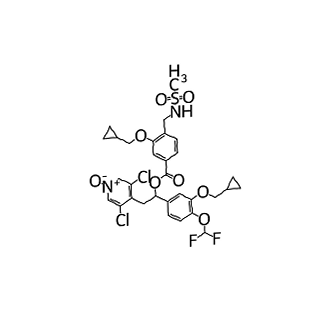 CS(=O)(=O)NCc1ccc(C(=O)OC(Cc2c(Cl)c[n+]([O-])cc2Cl)c2ccc(OC(F)F)c(OCC3CC3)c2)cc1OCC1CC1